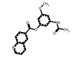 COc1cc(NC(C)=O)cc(OC(=O)c2ccc3ncccc3c2)c1